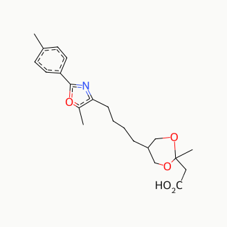 Cc1ccc(-c2nc(CCCCC3COC(C)(CC(=O)O)OC3)c(C)o2)cc1